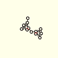 c1ccc(-c2ccc3c(c2)c2ccc4c5ccccc5n(-c5ccccc5)c4c2n3-c2ccc(-c3cccc(-c4ccc(-n5c6ccccc6c6ccc7c8ccccc8n(-c8ccccc8)c7c65)cc4)c3)cc2)cc1